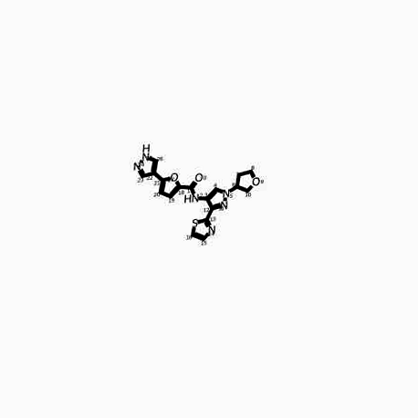 O=C(Nc1cn(C2CCOC2)nc1-c1nccs1)c1ccc(-c2cn[nH]c2)o1